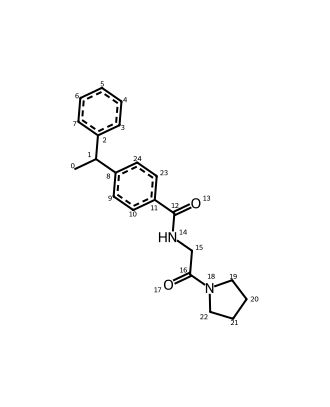 CC(c1ccccc1)c1ccc(C(=O)NCC(=O)N2CCCC2)cc1